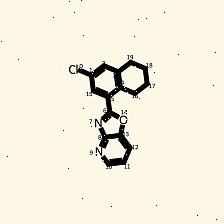 Clc1cc2c(c(-c3nc4ncccc4o3)c1)CCCC2